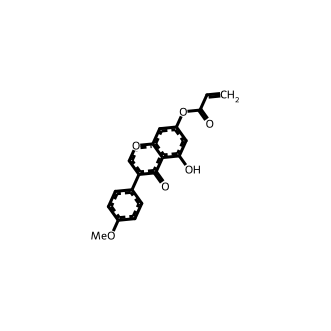 C=CC(=O)Oc1cc(O)c2c(=O)c(-c3ccc(OC)cc3)coc2c1